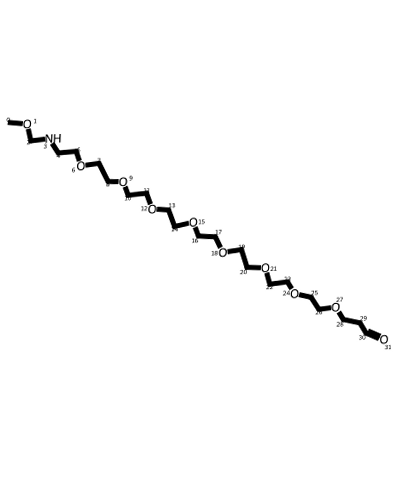 COCNCCOCCOCCOCCOCCOCCOCCOCCOCCC=O